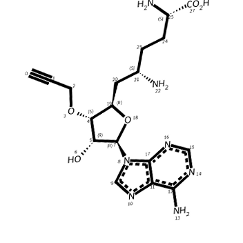 C#CCO[C@H]1[C@@H](O)[C@H](n2cnc3c(N)ncnc32)O[C@@H]1C[C@@H](N)CC[C@H](N)C(=O)O